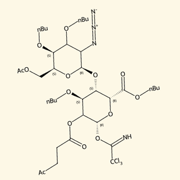 CCCCOC(=O)[C@@H]1O[C@H](OC(=N)C(Cl)(Cl)Cl)C(OC(=O)CCC(C)=O)[C@@H](OCCCC)[C@@H]1O[C@H]1O[C@@H](COC(C)=O)[C@@H](OCCCC)C(OCCCC)C1N=[N+]=[N-]